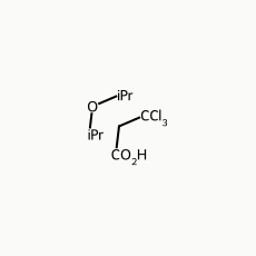 CC(C)OC(C)C.O=C(O)CC(Cl)(Cl)Cl